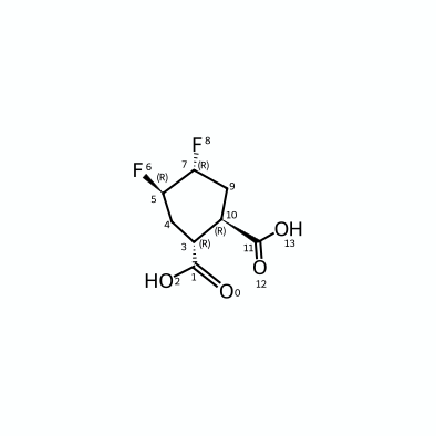 O=C(O)[C@@H]1C[C@@H](F)[C@H](F)C[C@H]1C(=O)O